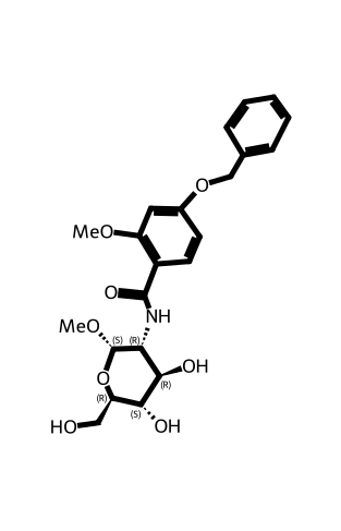 COc1cc(OCc2ccccc2)ccc1C(=O)N[C@H]1[C@@H](OC)O[C@H](CO)[C@@H](O)[C@@H]1O